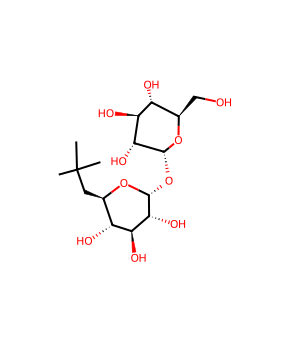 CC(C)(C)C[C@H]1O[C@H](O[C@H]2O[C@H](CO)[C@@H](O)[C@H](O)[C@H]2O)[C@H](O)[C@@H](O)[C@@H]1O